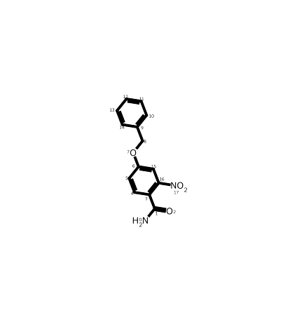 NC(=O)c1ccc(OCc2ccccc2)cc1[N+](=O)[O-]